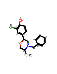 O=CC1COC(c2ccc(O)c(Cl)c2)CN1Cc1ccccc1